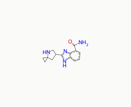 NC(=O)c1cccc2[nH]c(C3CNC4(CC4)C3)nc12